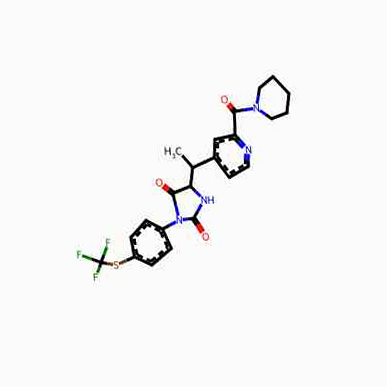 CC(c1ccnc(C(=O)N2CCCCC2)c1)C1NC(=O)N(c2ccc(SC(F)(F)F)cc2)C1=O